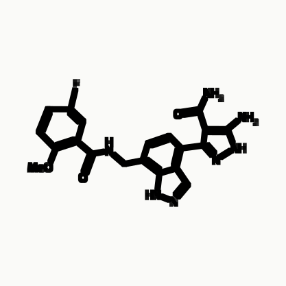 COc1ccc(F)cc1C(=O)NCc1ccc(-c2n[nH]c(N)c2C(N)=O)c2cn[nH]c12